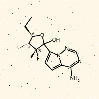 CC[C@H]1OC(O)(c2ccc3c(N)ncnn23)[C@](C)(F)[C@@H]1C